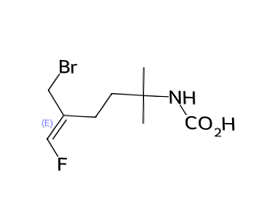 CC(C)(CC/C(=C\F)CBr)NC(=O)O